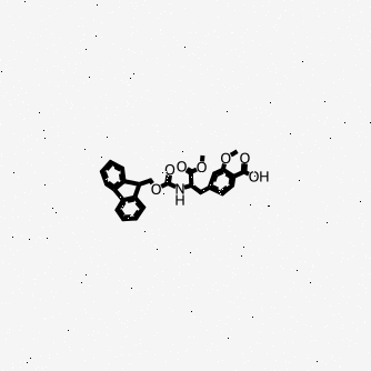 COC(=O)C(Cc1ccc(C(=O)O)c(OC)c1)NC(=O)OCC1c2ccccc2-c2ccccc21